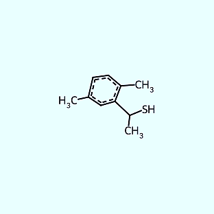 Cc1ccc(C)c(C(C)S)c1